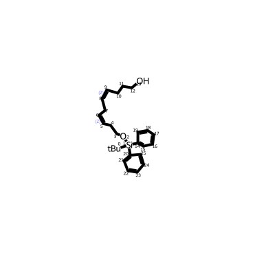 CC(C)(C)[Si](OCC/C=C\C/C=C\CCCO)(c1ccccc1)c1ccccc1